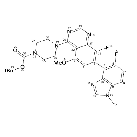 COc1cc(-c2c(F)ccc3c2ncn3C)c(F)c2ncnc(N3CCN(C(=O)OC(C)(C)C)CC3)c12